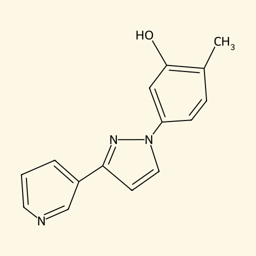 Cc1ccc(-n2ccc(-c3cccnc3)n2)cc1O